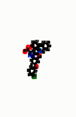 O=C(O)c1nn(-c2ccc(Oc3cccc(Cl)c3)cc2)c(C(=O)N2CCC3CC=CC=C3C2)c1-c1ccccc1